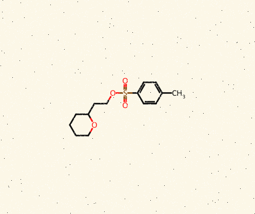 Cc1ccc(S(=O)(=O)OCCC2CCCCO2)cc1